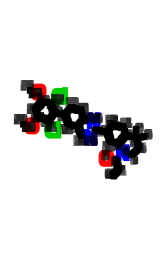 C=CC(=O)N1CCC(C)(C)c2ccc(-c3ncc4cc(-c5c(Cl)c(OC)cc(OC)c5Cl)ccc4n3)cc21